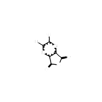 [2H]c1nc2c(nc1[2H])C(=O)OC2=O